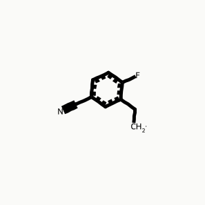 [CH2]Cc1cc(C#N)ccc1F